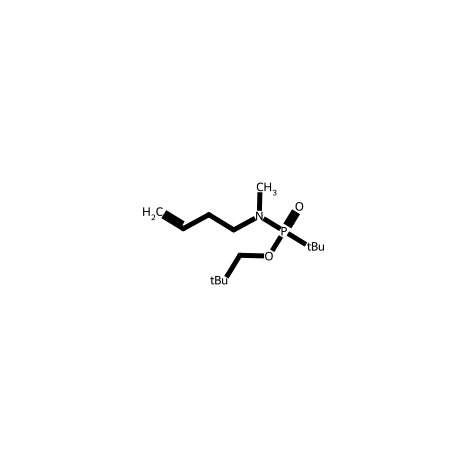 C=CCCN(C)P(=O)(OCC(C)(C)C)C(C)(C)C